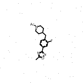 CC(=O)N1CCC(Cc2ccc(-c3noc(C)n3)cc2F)CC1